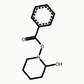 O=C(ON1CCCCC1O)c1ccccc1